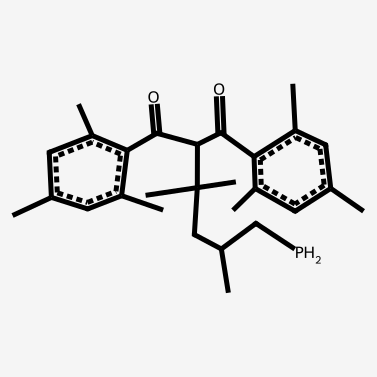 Cc1cc(C)c(C(=O)C(C(=O)c2c(C)cc(C)cc2C)C(C)(C)CC(C)CP)c(C)c1